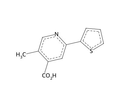 Cc1cnc(-c2cccs2)cc1C(=O)O